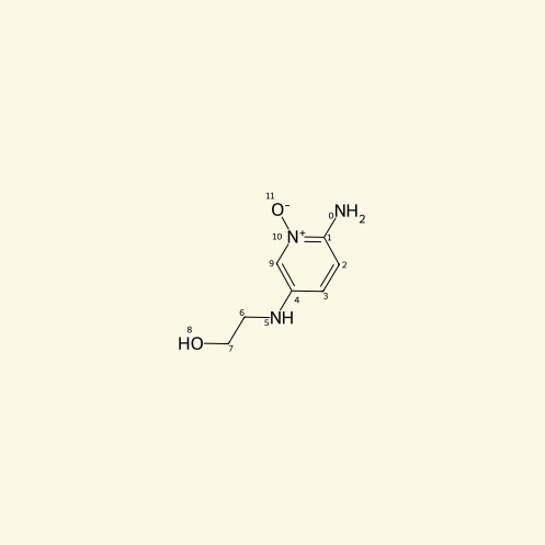 Nc1ccc(NCCO)c[n+]1[O-]